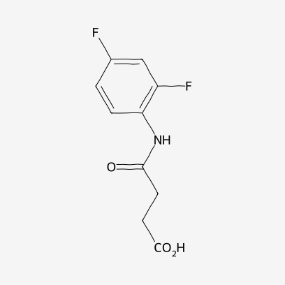 O=C(O)CCC(=O)Nc1ccc(F)cc1F